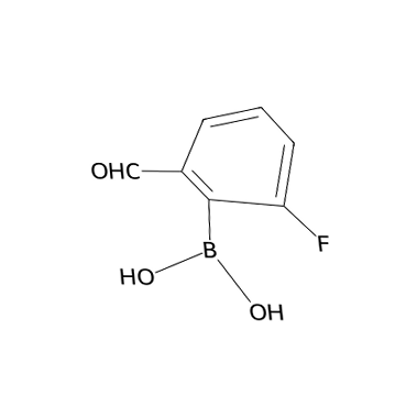 O=Cc1cccc(F)c1B(O)O